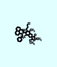 COC(=O)C1(C(=O)OC)Cc2c(C)c(CCCCl)c(B3Nc4cccc5cccc(c45)N3Cc3ccccc3)c(C)c2C1